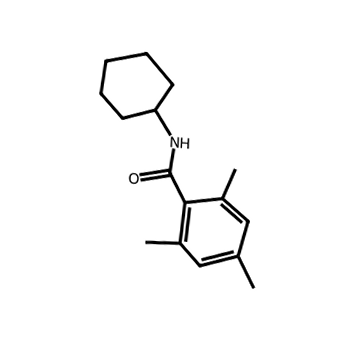 Cc1cc(C)c(C(=O)NC2CCCCC2)c(C)c1